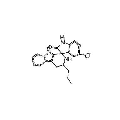 CCCC1Cc2c([nH]c3ccccc23)C2(N1)C(=O)Nc1ccc(Cl)cc12